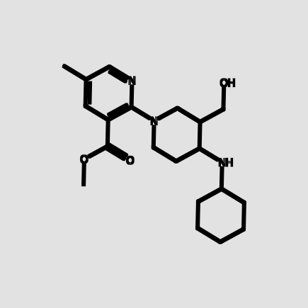 COC(=O)c1cc(C)cnc1N1CCC(NC2CCCCC2)C(CO)C1